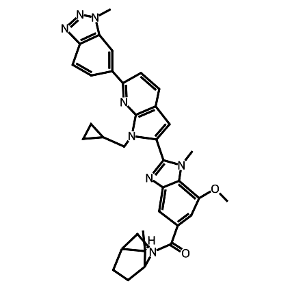 COc1cc(C(=O)N2CC3CCC2[C@@H]3C)cc2nc(-c3cc4ccc(-c5ccc6nnn(C)c6c5)nc4n3CC3CC3)n(C)c12